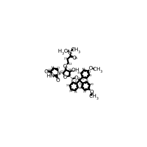 COc1ccc(C(OC[C@@H]2O[C@H](n3ccc(=O)[nH]c3=O)C(OCCC(=O)N(C)C)C2O)(c2ccccc2)c2ccc(OC)cc2)cc1